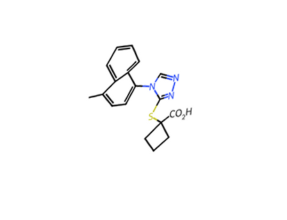 Cc1ccc(-n2cnnc2SC2(C(=O)O)CCC2)c2ccccc12